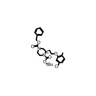 Cc1ccc(Cl)cc1OCC[C@@H]1CN(C(=O)OCc2ccccc2)CCN1C(=O)OC(C)(C)C